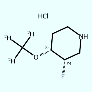 Cl.[2H]C([2H])([2H])O[C@@H]1CCNC[C@@H]1F